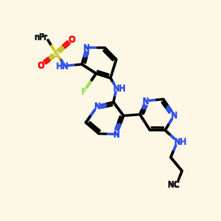 CCCS(=O)(=O)Nc1nccc(Nc2nccnc2-c2cc(NCCC#N)ncn2)c1F